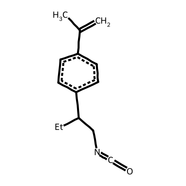 C=C(C)c1ccc(C(CC)CN=C=O)cc1